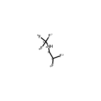 FC(F)CNC(F)(F)F